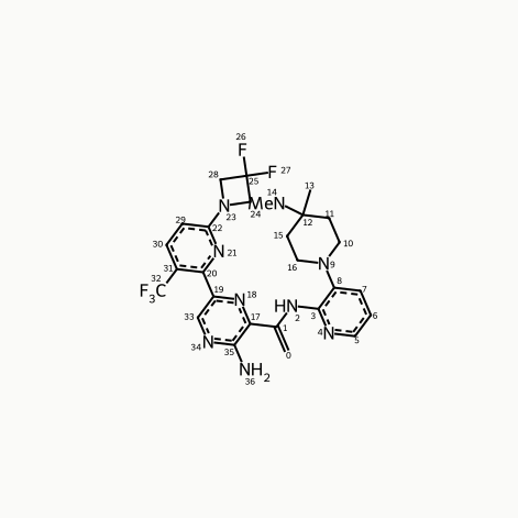 C=C(Nc1ncccc1N1CCC(C)(NC)CC1)c1nc(-c2nc(N3CC(F)(F)C3)ccc2C(F)(F)F)cnc1N